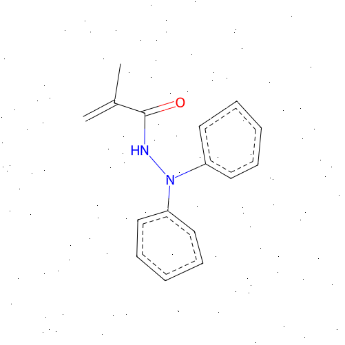 C=C(C)C(=O)NN(c1ccccc1)c1ccccc1